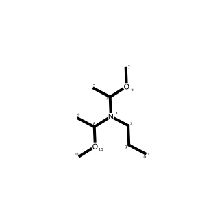 [CH2]CCN(C(C)OC)C(C)OC